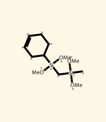 CO[Si](C)(C[Si](OC)(OC)C1CC=CCC1)OC